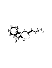 Cn1c(=O)n(CC(F)=CCN)c2ncncc21